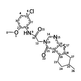 COc1ccc(Cl)cc1NC(=O)Cn1cnc2sc3c(c2c1=O)CCC(C)C3